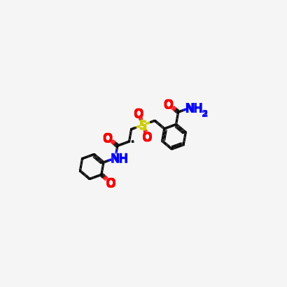 NC(=O)c1ccccc1CS(=O)(=O)C[CH]C(=O)NC1=CCCCC1=O